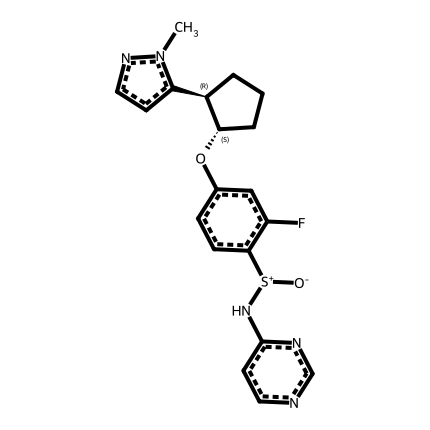 Cn1nccc1[C@H]1CCC[C@@H]1Oc1ccc([S+]([O-])Nc2ccncn2)c(F)c1